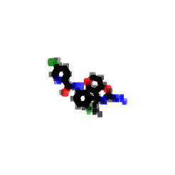 C[C@]1(c2cc(NC(=O)c3ccc(Cl)cn3)ccc2F)N=C(N)OC2CCOCC21